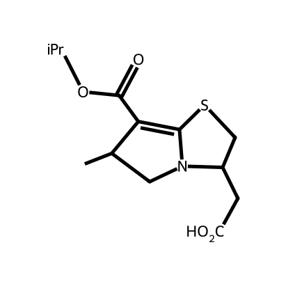 CC(C)OC(=O)C1=C2SCC(CC(=O)O)N2CC1C